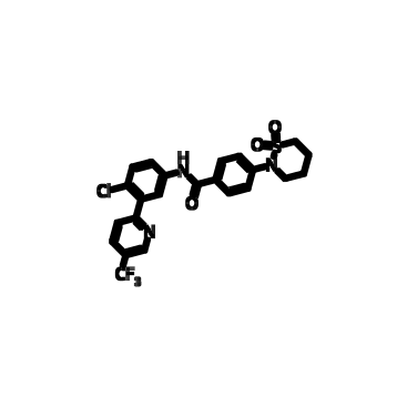 O=C(Nc1ccc(Cl)c(-c2ccc(C(F)(F)F)cn2)c1)c1ccc(N2CCCCS2(=O)=O)cc1